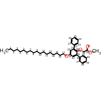 CCCCCCCCCCCCCCCCCCOc1cc(-c2ccccc2)c(OCC(=O)OC)c(-c2ccccc2)c1